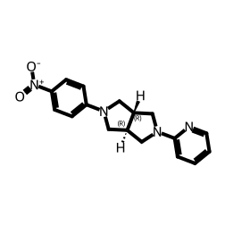 O=[N+]([O-])c1ccc(N2C[C@@H]3CN(c4ccccn4)C[C@H]3C2)cc1